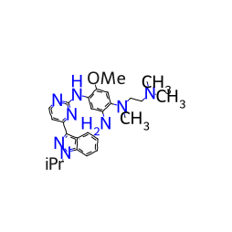 COc1cc(N(C)CCN(C)C)c(N)cc1Nc1nccc(-c2nn(C(C)C)c3ccccc23)n1